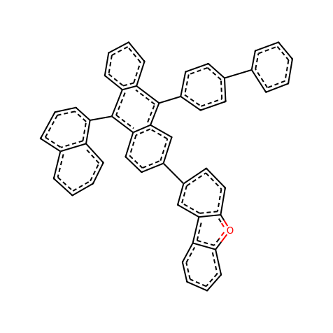 c1ccc(-c2ccc(-c3c4ccccc4c(-c4cccc5ccccc45)c4ccc(-c5ccc6oc7ccccc7c6c5)cc34)cc2)cc1